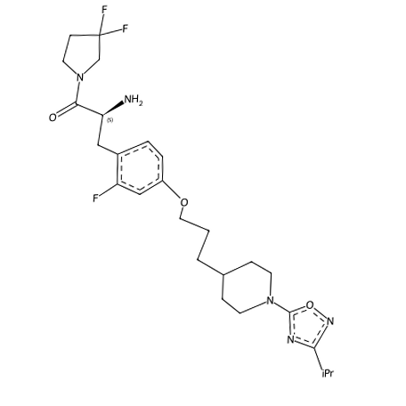 CC(C)c1noc(N2CCC(CCCOc3ccc(C[C@H](N)C(=O)N4CCC(F)(F)C4)c(F)c3)CC2)n1